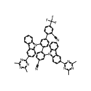 Cc1nc(C)nc(-c2ccc3c(c2)c2ccccc2n3-c2cc(C#N)ccc2-c2ccc(-c3ccc(C(F)(F)F)cc3C#N)cc2-n2c3ccccc3c3cc(-c4nc(C)nc(C)n4)ccc32)n1